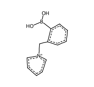 OB(O)c1ccccc1C[n+]1ccccc1